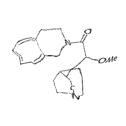 COC(C(=O)N1CCc2ccccc2C1)C1CN2CCC1CC2